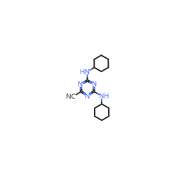 N#Cc1nc(NC2CCCCC2)nc(NC2CCCCC2)n1